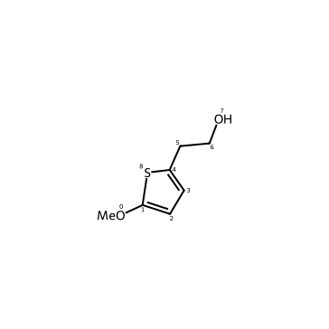 COc1ccc(CCO)s1